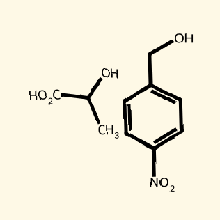 CC(O)C(=O)O.O=[N+]([O-])c1ccc(CO)cc1